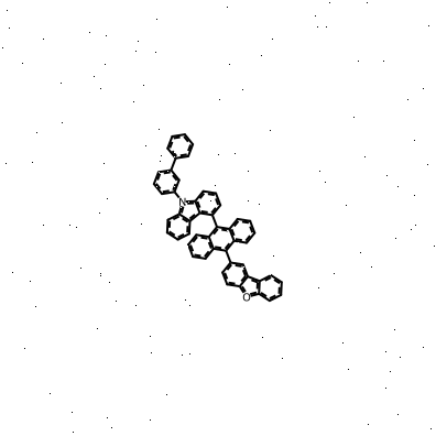 c1ccc(-c2cccc(-n3c4ccccc4c4c(-c5c6ccccc6c(-c6ccc7oc8ccccc8c7c6)c6ccccc56)cccc43)c2)cc1